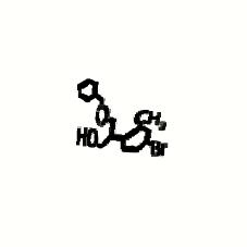 Cc1cc(Br)ccc1C(CO)COCc1ccccc1